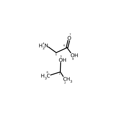 CC(C)O.NCC(=O)O